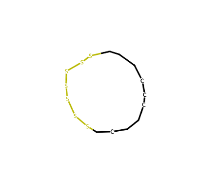 C1CCCCCSSSSSSSCCCC1